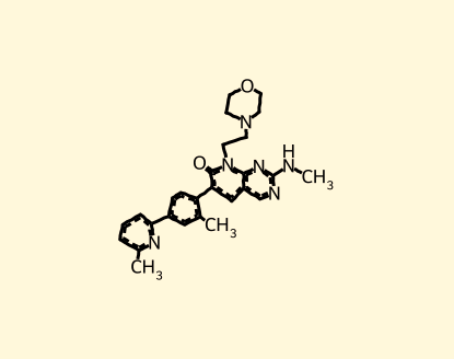 CNc1ncc2cc(-c3ccc(-c4cccc(C)n4)cc3C)c(=O)n(CCN3CCOCC3)c2n1